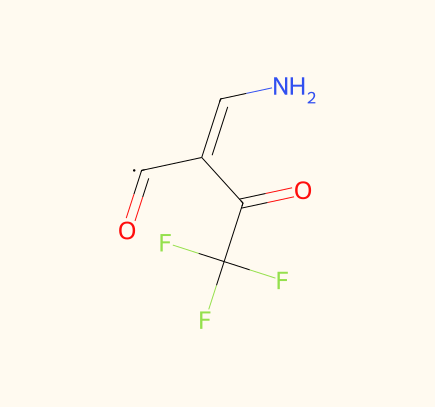 NC=C([C]=O)C(=O)C(F)(F)F